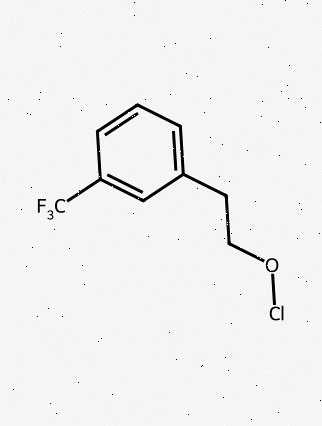 FC(F)(F)c1cccc(CCOCl)c1